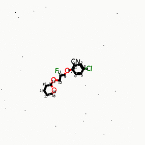 N#Cc1cc(Cl)ccc1OC[C@@H](F)COC1CCCCO1